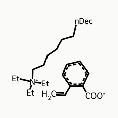 C=Cc1ccccc1C(=O)[O-].CCCCCCCCCCCCCCCC[N+](CC)(CC)CC